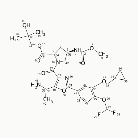 COC(=O)N[C@@H]1C[C@@H](C(=O)OCC(C)(C)O)N(C(=O)c2nc(-c3ccc(OC(F)F)c(OCC4CC4)c3)oc2[C@H](C)N)C1